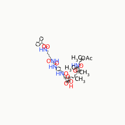 CC(=O)O[C@@H](C)C=CC(=O)N[C@@H]1C[C@H](C)[C@H](CC=C(C)C=C[C@H]2O[C@H](CC(=O)NCc3ccc(NC(=O)CNC(=O)CCCCCNC(=O)OCC4c5ccccc5-c5ccccc54)cc3)C[C@@]3(CO3)[C@@H]2O)O[C@@H]1C